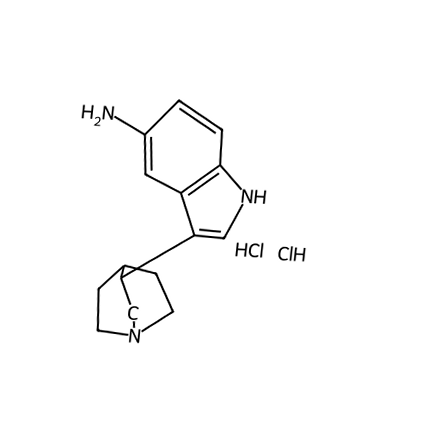 Cl.Cl.Nc1ccc2[nH]cc(C3CN4CCC3CC4)c2c1